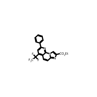 CCOC(=O)c1cn2c(ccc3c(C(F)(F)C(F)(F)F)cc(-c4ccccc4)nc32)n1